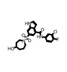 O=C(Nc1ccc(F)c(Cl)c1)c1cc(S(=O)(=O)N2CCCC(O)CC2)cc2[nH]ccc12